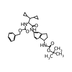 CC(C)(C)OC(=O)N[C@@H]1CCc2cc(NC(=O)[C@@H](NC(=O)OCc3ccccc3)C(C3CC3)C3CC3)ccc21